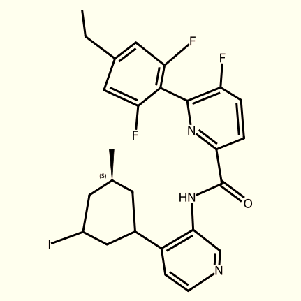 CCc1cc(F)c(-c2nc(C(=O)Nc3cnccc3C3CC(I)C[C@@H](C)C3)ccc2F)c(F)c1